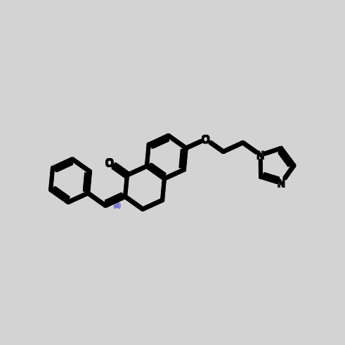 O=C1/C(=C\c2ccccc2)CCc2cc(OCCn3ccnc3)ccc21